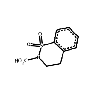 O=C(O)N1CCc2ccccc2S1(=O)=O